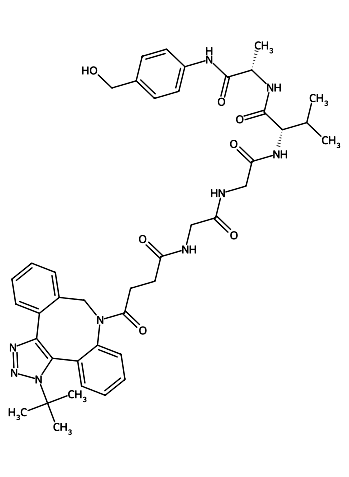 CC(C)[C@H](NC(=O)CNC(=O)CNC(=O)CCC(=O)N1Cc2ccccc2-c2nnn(C(C)(C)C)c2-c2ccccc21)C(=O)N[C@@H](C)C(=O)Nc1ccc(CO)cc1